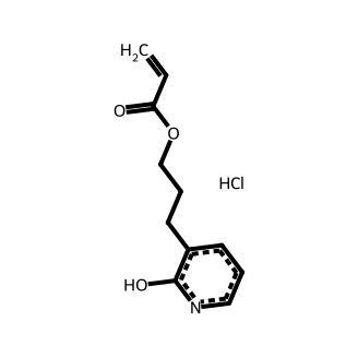 C=CC(=O)OCCCc1cccnc1O.Cl